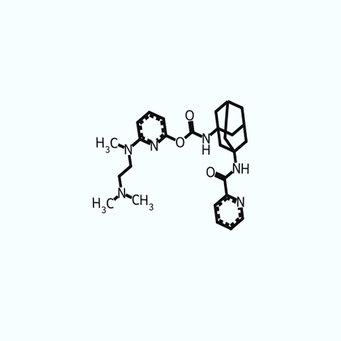 CN(C)CCN(C)c1cccc(OC(=O)NC23CC4CC(C2)CC(NC(=O)c2ccccn2)(C4)C3)n1